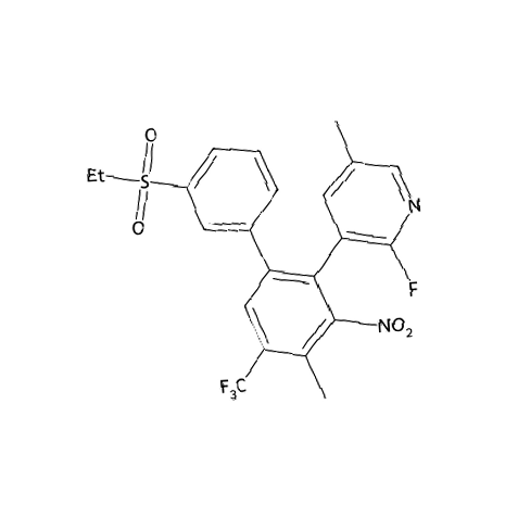 CCS(=O)(=O)c1cccc(-c2cc(C(F)(F)F)c(C)c([N+](=O)[O-])c2-c2cc(C)cnc2F)c1